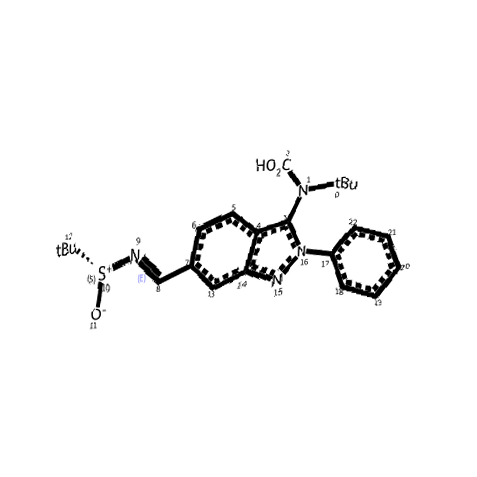 CC(C)(C)N(C(=O)O)c1c2ccc(/C=N/[S@+]([O-])C(C)(C)C)cc2nn1-c1ccccc1